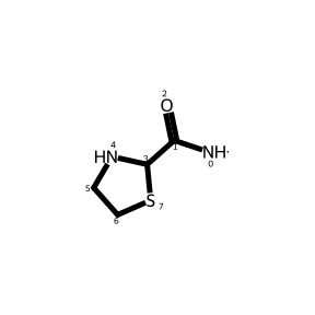 [NH]C(=O)C1NCCS1